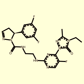 CCn1c(C)nn(-c2nc(NCCNC(=O)N3N=CC[C@H]3c3cc(F)cc(F)c3)ncc2F)c1=O